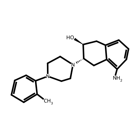 Cc1ccccc1N1CCN([C@H]2Cc3c(N)cccc3C[C@@H]2O)CC1